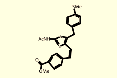 COC(=O)c1ccc(/C=C\c2nc(NC(C)=O)sc2Cc2ccc(SC)cc2)cc1